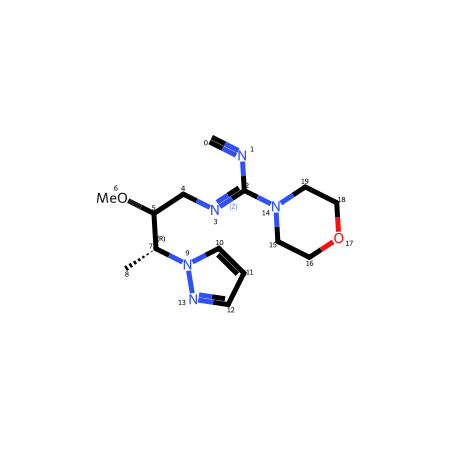 C=N/C(=N\CC(OC)[C@@H](C)n1cccn1)N1CCOCC1